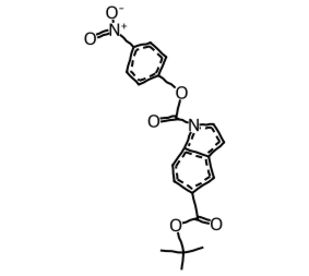 CC(C)(C)OC(=O)c1ccc2c(ccn2C(=O)Oc2ccc([N+](=O)[O-])cc2)c1